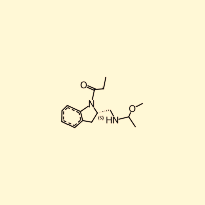 CCC(=O)N1c2ccccc2C[C@H]1CNC(C)OC